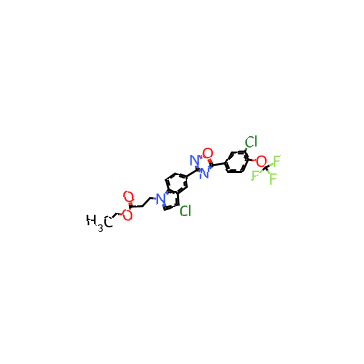 CCOC(=O)CCn1cc(Cl)c2cc(-c3noc(-c4ccc(OC(F)(F)F)c(Cl)c4)n3)ccc21